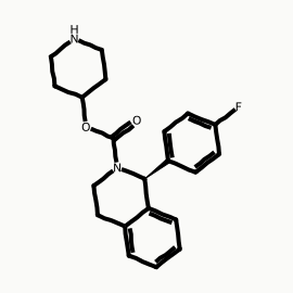 O=C(OC1CCNCC1)N1CCc2ccccc2[C@@H]1c1ccc(F)cc1